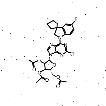 CC(=O)OC[C@H]1O[C@@H](n2cnc3c(N4CC5(CCCC5)c5cc(F)ccc54)nc(Cl)nc32)C(OC(C)=O)C1OC(C)=O